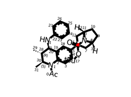 CC(=O)N1c2ccc(N3C[C@H]4CC[C@@H](C3)N4C(=O)OC(C)(C)C)cc2[C@H](Nc2ccccc2)[C@@H](C)[C@@H]1C